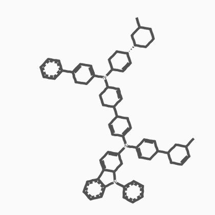 CC1C=CCC(C2C=CC(N(C3=CCC(C4C=CC(N(C5=CC=C(c6ccccc6)CC5)C5C=C[C@@H](C6CCCC(C)C6)CC5)CC4)C=C3)C3=CC=C4c5ccccc5N(c5ccccc5)C4C3)=CC2)C1